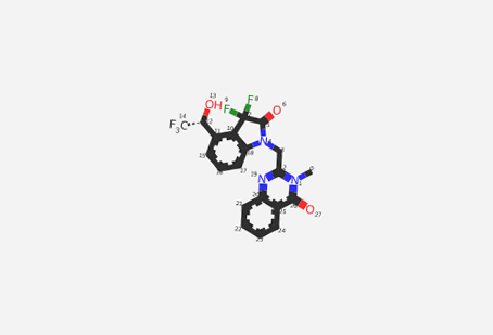 Cn1c(CN2C(=O)C(F)(F)c3c([C@@H](O)C(F)(F)F)cccc32)nc2ccccc2c1=O